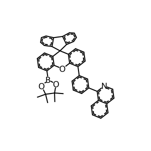 CC1(C)OB(c2cccc3c2Oc2c(-c4cccc(-c5nccc6ccccc56)c4)cccc2C32c3ccccc3-c3ccccc32)OC1(C)C